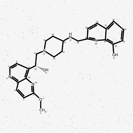 COc1ccc2nccc([C@@H](O)CN3CCC(NCc4ccc5cccc(O)c5n4)CC3)c2n1